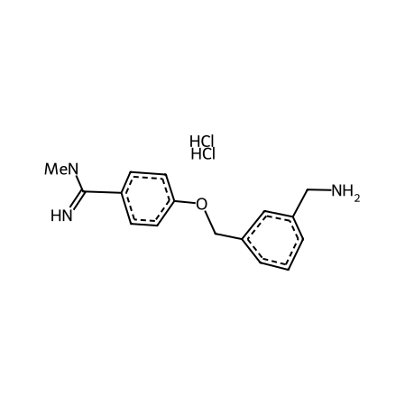 CNC(=N)c1ccc(OCc2cccc(CN)c2)cc1.Cl.Cl